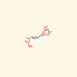 CC(CC(=O)O)ONCCCCNOC(C)CC(=O)O